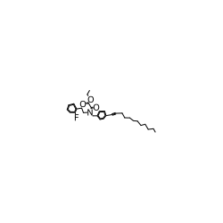 CCCCCCCCCCC#Cc1ccc(CN(CCc2ccccc2F)C(=O)C(=O)OCC)cc1